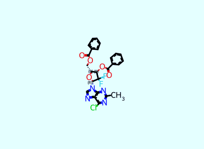 Cc1nc(Cl)c2ncn([C@@H]3O[C@H](COC(=O)c4ccccc4)[C@@H](OC(=O)c4ccccc4)C3(F)F)c2n1